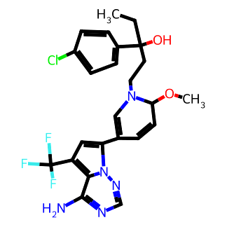 CCC(O)(CCN1C=C(c2cc(C(F)(F)F)c3c(N)ncnn23)C=CC1OC)c1ccc(Cl)cc1